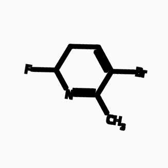 CC1=NC(F)CC=C1Br